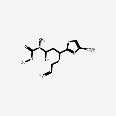 C=CCOC(CC(C(C)C)N(C)C(=O)OC(C)(C)C)c1nc(C(=O)OCC)cs1